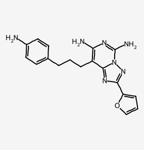 Nc1ccc(CCCc2c(N)nc(N)n3nc(-c4ccco4)nc23)cc1